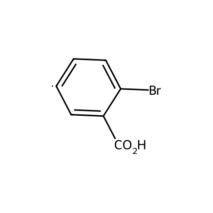 O=C(O)c1c[c]ccc1Br